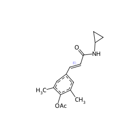 CC(=O)Oc1c(C)cc(/C=C/C(=O)NC2CC2)cc1C